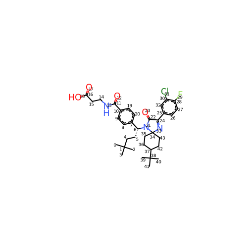 CC(C)(C)CC[C@H](c1ccc(C(=O)NCCC(=O)O)cc1)N1C(=O)C(c2ccc(F)c(Cl)c2)=NC12CCC(C(C)(C)C)CC2